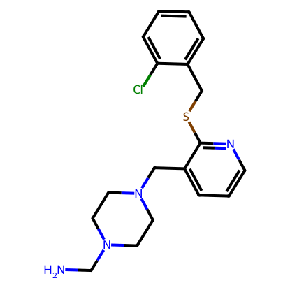 NCN1CCN(Cc2cccnc2SCc2ccccc2Cl)CC1